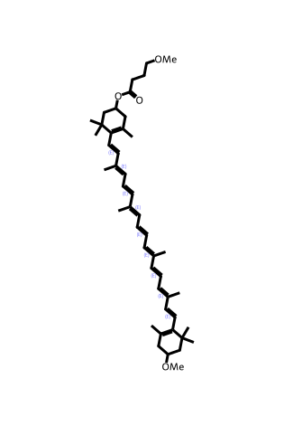 COCCCC(=O)OC1CC(C)=C(/C=C/C(C)=C/C=C/C(C)=C/C=C/C=C(C)/C=C/C=C(C)/C=C/C2=C(C)CC(OC)CC2(C)C)C(C)(C)C1